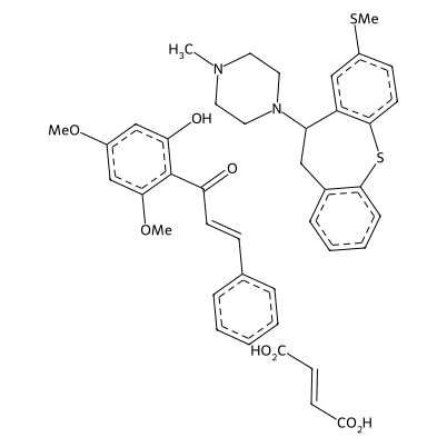 COc1cc(O)c(C(=O)C=Cc2ccccc2)c(OC)c1.CSc1ccc2c(c1)C(N1CCN(C)CC1)Cc1ccccc1S2.O=C(O)C=CC(=O)O